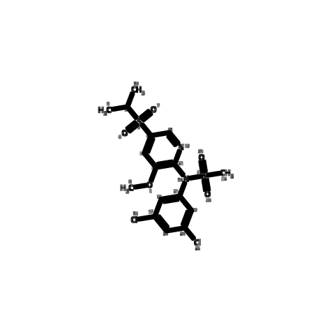 COc1cc(S(=O)(=O)C(C)C)cnc1N(c1cc(Cl)cc(Cl)c1)S(C)(=O)=O